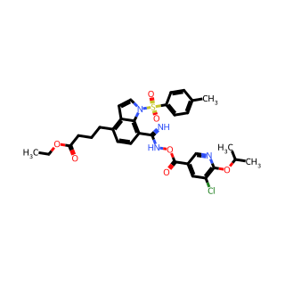 CCOC(=O)CCCc1ccc(C(=N)NOC(=O)c2cnc(OC(C)C)c(Cl)c2)c2c1ccn2S(=O)(=O)c1ccc(C)cc1